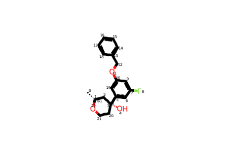 C[C@@H]1C[C@@](O)(c2cc(F)cc(OCc3ccccc3)c2)CCO1